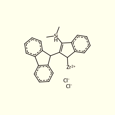 C[SiH](C)C1=C(C2c3ccccc3-c3ccccc32)[CH]([Zr+2])c2ccccc21.[Cl-].[Cl-]